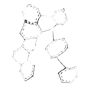 c1ccc(-c2ccc(N(c3ccccc3-c3ccccc3)c3nccc4c3oc3c5ccccc5ccc43)cc2)cc1